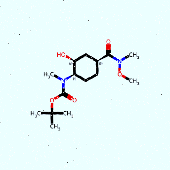 CON(C)C(=O)[C@H]1CC[C@@H](N(C)C(=O)OC(C)(C)C)[C@@H](O)C1